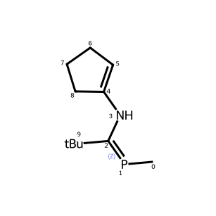 C/P=C(\NC1=CCCC1)C(C)(C)C